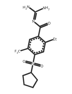 CCc1cc(S(=O)(=O)C2CCCC2)c(C(F)(F)F)cc1C(=O)N=C(N)N